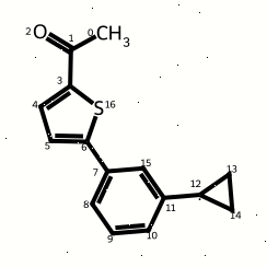 CC(=O)c1ccc(-c2cccc([C]3CC3)c2)s1